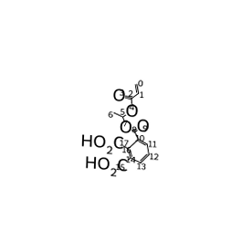 C=CC(=O)OC(C)OC(=O)c1cccc(C(=O)O)c1C(=O)O